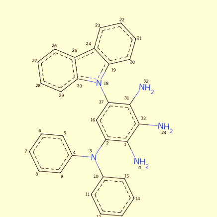 Nc1c(N(c2ccccc2)c2ccccc2)cc(-n2c3ccccc3c3ccccc32)c(N)c1N